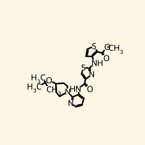 COC(=O)c1sccc1Nc1nc(C(=O)Nc2cccnc2N2CCC(OC(C)(C)C)CC2)cs1